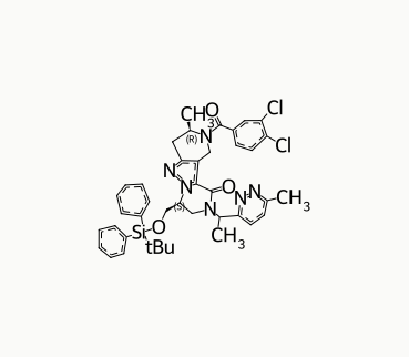 Cc1ccc(C(C)N2C[C@@H](CO[Si](c3ccccc3)(c3ccccc3)C(C)(C)C)n3nc4c(c3C2=O)CN(C(=O)c2ccc(Cl)c(Cl)c2)[C@H](C)C4)nn1